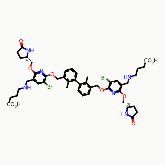 Cc1c(COc2nc(OC[C@@H]3CCC(=O)N3)c(CNCCCC(=O)O)cc2Br)cccc1-c1cccc(COc2nc(OC[C@@H]3CCC(=O)N3)c(CNCCCC(=O)O)cc2Br)c1C